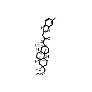 CC[C@H]1[C@@H]2CC[C@H]3C[C@@](O)(COC)CC[C@@H]3[C@H]2CC[C@]1(C)[C@H](C)C(=O)Cn1nc2ccc(F)cc2n1